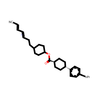 CCCc1ccc([C@H]2CC[C@H](C(=O)OC3CCC(CC/C=C/C=CC#N)CC3)CC2)cc1